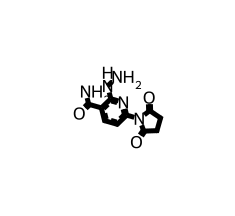 NNc1nc(N2C(=O)CCC2=O)ccc1C(N)=O